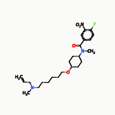 C=CCN(C)CCCCCCOC1CCC(N(C)C(=O)c2ccc(F)c([N+](=O)[O-])c2)CC1